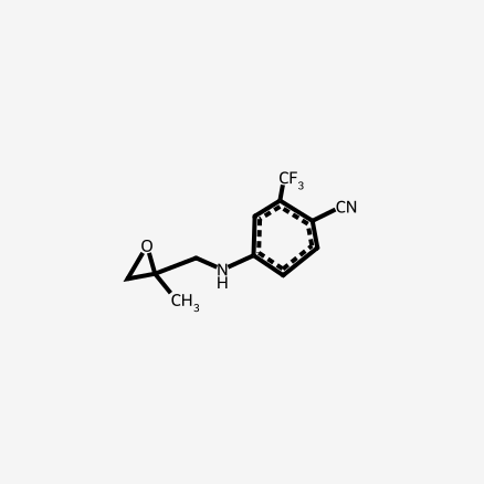 CC1(CNc2ccc(C#N)c(C(F)(F)F)c2)CO1